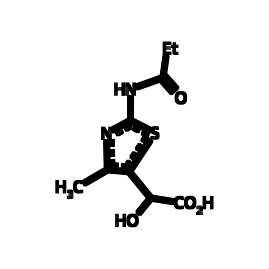 CCC(=O)Nc1nc(C)c(C(O)C(=O)O)s1